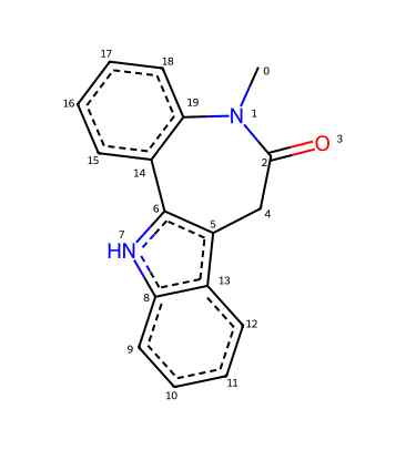 CN1C(=O)Cc2c([nH]c3ccccc23)-c2ccccc21